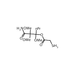 CCCC(OC)(OC(=O)C[SiH3])C(OC)(OC)C(N)=O